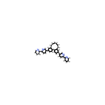 C1=CN=C(c2ccc(-c3ccc4c(c3)C/C=C\C=C/Cc3cc(-c5ccc(-c6ccccn6)nc5)ccc3-4)cn2)CC1